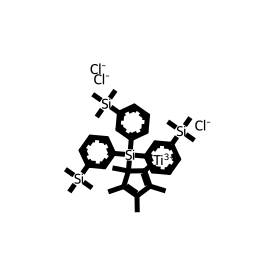 CC1=C(C)C(C)([Si](c2cccc([Si](C)(C)C)c2)(c2cccc([Si](C)(C)C)c2)c2cccc([Si](C)(C)C)c2)[C]([Ti+3])=C1C.[Cl-].[Cl-].[Cl-]